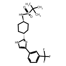 CC(C)(C)S(=O)(=O)N[C@H]1CC[C@H](c2nc(-c3cccc(C(F)(F)F)c3)c[nH]2)CC1